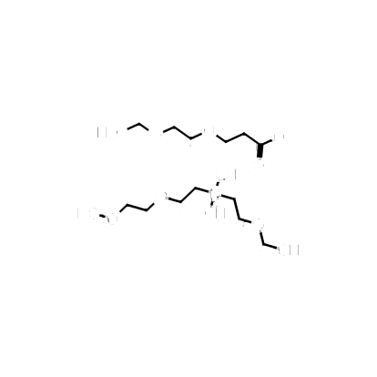 CCOCCOCCC(=O)[O-].CCOCC[N+](C)(C)CCOCCOC